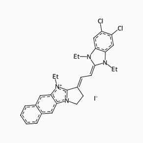 CCN1C(=CC=C2CCn3c2[n+](CC)c2cc4ccccc4cc23)N(CC)c2cc(Cl)c(Cl)cc21.[I-]